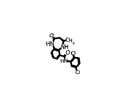 CC1CC(=O)Nc2cccc(C(=O)Nc3cc(Cl)ccc3Cl)c2N1